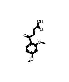 COc1ccc(C(=O)CCC(=O)O)c(OC)c1